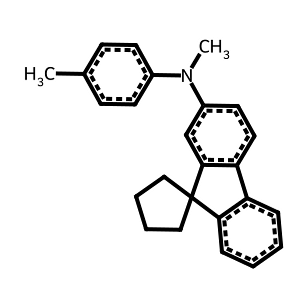 Cc1ccc(N(C)c2ccc3c(c2)C2(CCCC2)c2ccccc2-3)cc1